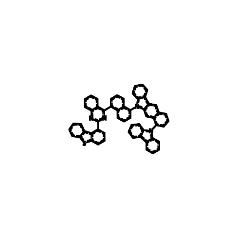 c1cc(-n2c3ccccc3c3ccccc32)c2cc3c(cc2c1)c1ccccc1n3-c1cccc2c(-c3nc(-c4cccc5sc6ccccc6c45)nc4ccccc34)cccc12